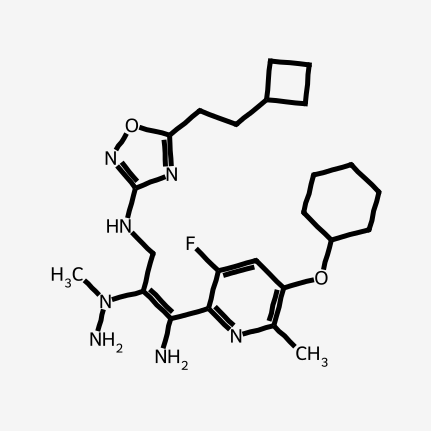 Cc1nc(/C(N)=C(\CNc2noc(CCC3CCC3)n2)N(C)N)c(F)cc1OC1CCCCC1